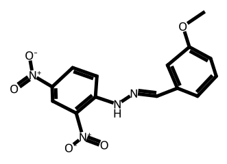 COc1cccc(C=NNc2ccc([N+](=O)[O-])cc2[N+](=O)[O-])c1